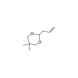 C=CCC1OCC(C)(C)CO1